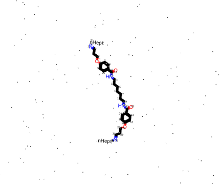 CCCCCCCN=CCCOc1ccc(C(=O)NCCCCCCCNC(=O)c2ccc(OCCC=NCCCCCCC)cc2)cc1